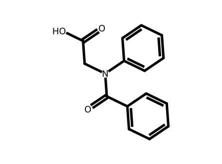 O=C(O)CN(C(=O)c1ccccc1)c1ccccc1